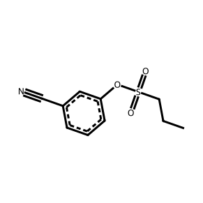 CCCS(=O)(=O)Oc1cccc(C#N)c1